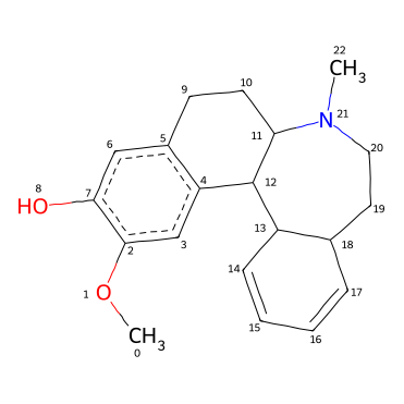 COc1cc2c(cc1O)CCC1C2C2C=CC=CC2CCN1C